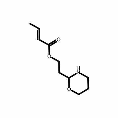 CC=CC(=O)OCCC1NCCCO1